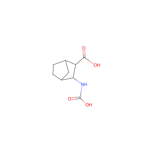 O=C(O)NC1C2CCC(C2)C1C(=O)O